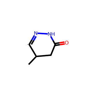 CC1[C]=NNC(=O)C1